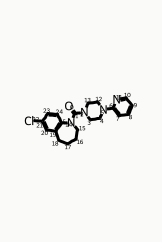 O=C(N1CCN(c2ccccn2)CC1)N1CCCCc2cc(Cl)ccc21